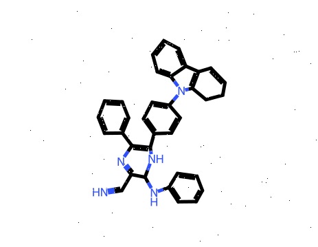 N=CC1=NC(c2ccccc2)=C(c2ccc(-n3c4c(c5ccccc53)C=CCC4)cc2)NC1Nc1ccccc1